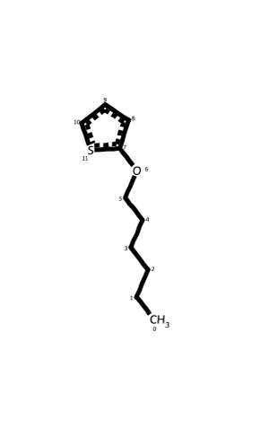 CCCCC[CH]Oc1cccs1